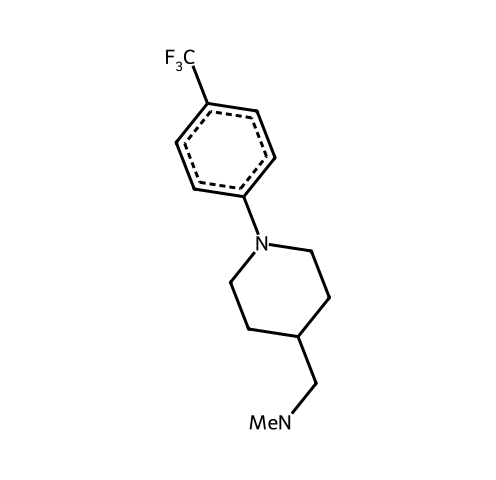 CNCC1CCN(c2ccc(C(F)(F)F)cc2)CC1